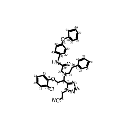 N#CCCn1nnnc1C(COc1ccccc1Cl)N(CCc1ccccc1)CC(=O)Nc1ccc(Oc2ccccc2)cc1